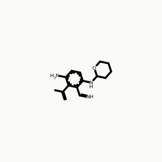 C=C(C)c1c(N)ccc(NC2CCCCO2)c1C=N